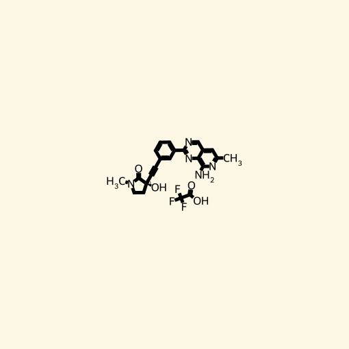 Cc1cc2cnc(-c3cccc(C#C[C@]4(O)CCN(C)C4=O)c3)nc2c(N)n1.O=C(O)C(F)(F)F